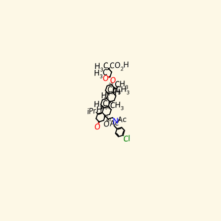 CC(=O)O[C@H](CN(Cc1ccc(Cl)cc1)C(C)=O)[C@@]12CC[C@]3(C)[C@H](CC[C@@H]4[C@@]5(C)CC[C@H](OC(=O)CC(C)(C)C(=O)O)C(C)(C)[C@@H]5CC[C@]43C)C1=C(C(C)C)CC(=O)C2